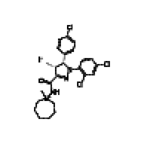 C[C@H]1C(C(=O)N[N+]2(C)CCCCCC2)=NN(c2ccc(Cl)cc2Cl)[C@H]1c1ccc(Cl)cc1.[I-]